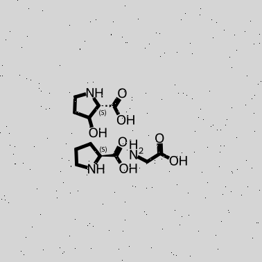 NCC(=O)O.O=C(O)[C@@H]1CCCN1.O=C(O)[C@H]1NCCC1O